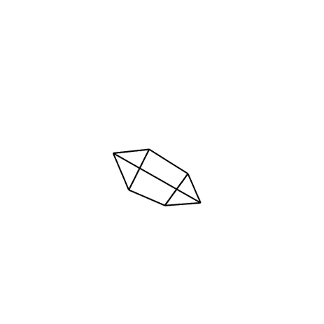 C12C3C1C1C2C31